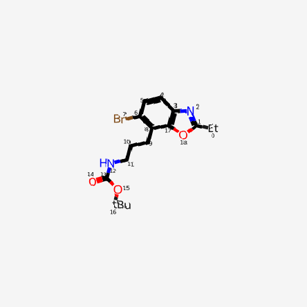 CCc1nc2ccc(Br)c(CCCNC(=O)OC(C)(C)C)c2o1